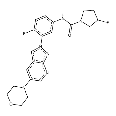 O=C(Nc1ccc(F)c(-n2cc3cc(N4CCOCC4)cnc3n2)c1)N1CCC(F)C1